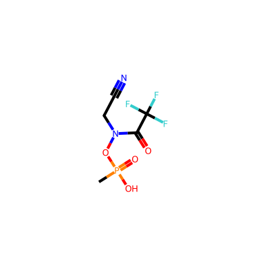 CP(=O)(O)ON(CC#N)C(=O)C(F)(F)F